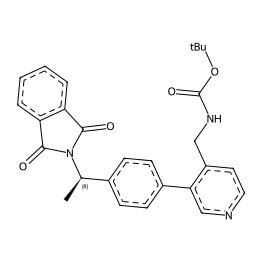 C[C@H](c1ccc(-c2cnccc2CNC(=O)OC(C)(C)C)cc1)N1C(=O)c2ccccc2C1=O